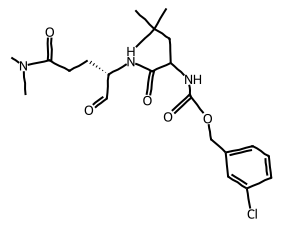 CN(C)C(=O)CC[C@@H](C=O)NC(=O)C(CC(C)(C)C)NC(=O)OCc1cccc(Cl)c1